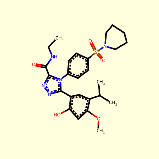 CCNC(=O)c1nnc(-c2cc(C(C)C)c(OC)cc2O)n1-c1ccc(S(=O)(=O)N2CCCCC2)cc1